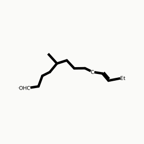 CCC=CCCCCC(C)CCC[C]=O